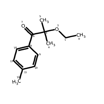 CCOC(C)(C)C(=O)c1ccc(C)cc1